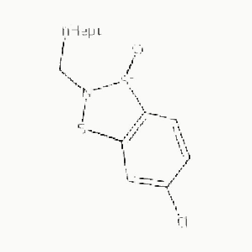 CCCCCCCCN1Sc2cc(Cl)ccc2[S+]1[O-]